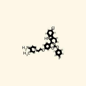 CC1=C(N)C=CN(CCOc2ccc(C3c4[nH]c5c(c4CCN3C(=O)Oc3ccc(F)cc3)=CC(Cl)CC=5)cc2)C1